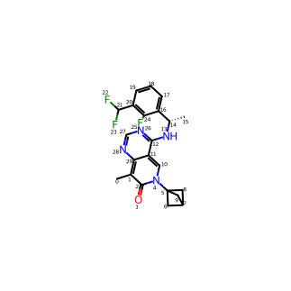 Cc1c(=O)n(C23CC(C2)C3)cc2c(N[C@@H](C)c3cccc(C(F)F)c3F)ncnc12